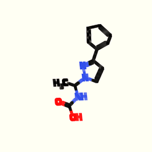 CC(NC(=O)O)n1ccc(-c2ccccc2)n1